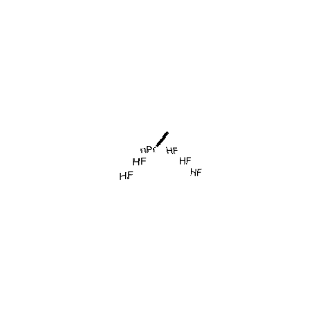 CCCC.F.F.F.F.F